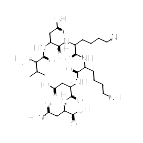 CC(C)C(N)C(=O)NC(CC(=O)O)C(=O)NC(CCCCN)C(=O)NC(CCCCN)C(=O)NC(CC(=O)O)C(=O)NC(CC(N)=O)C(=O)O